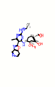 Cc1nc(NCC(F)(F)F)nc(N[C@@H]2C[C@H](CO)[C@@H](O)[C@H]2O)c1-c1nc2cnccc2o1